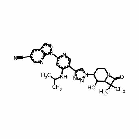 CC(C)Nc1cc(-n2ncc3cc(C#N)cnc32)ncc1-c1cn(C2CCN3C(=O)C(C)(C)C3C2O)nn1